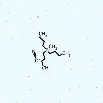 CCCC[P+](C)(CCCC)CCCC.N#C[O-]